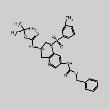 Cc1cccc(S(=O)(=O)N2C[C@H](NC(=O)OC(C)(C)C)Cc3ncc(NC(=O)OCc4ccccc4)cc32)c1